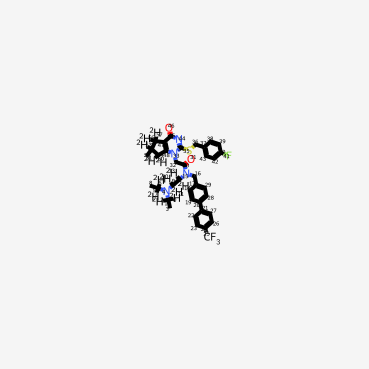 [2H]C([2H])(C)N(C([2H])([2H])C)C([2H])([2H])C([2H])([2H])N(Cc1ccc(-c2ccc(C(F)(F)F)cc2)cc1)C(=O)Cn1c(SCc2ccc(F)cc2)nc(=O)c2c1C([2H])([2H])C([2H])(C)C2([2H])[2H]